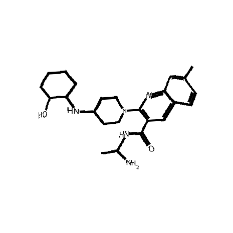 Cc1ccc2cc(C(=O)NC(C)N)c(N3CCC(NC4CCCCC4O)CC3)nc2c1